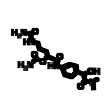 CN(C)C(=O)C(O)c1ccc(NC(=O)C(CCCNC(N)=O)OC(N)=O)cc1